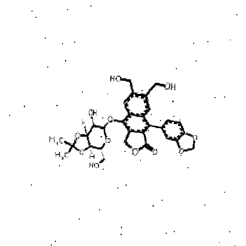 CC1(C)O[C@H]2[C@H](O1)[C@@H](O)C(Oc1c3c(c(-c4ccc5c(c4)OCO5)c4cc(CO)c(CO)cc14)C(=O)OC3)O[C@@H]2CO